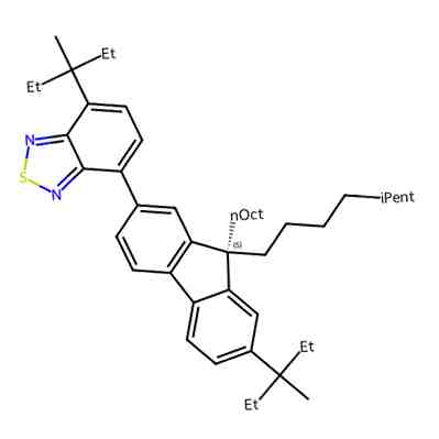 CCCCCCCC[C@@]1(CCCCC(C)CCC)c2cc(-c3ccc(C(C)(CC)CC)c4nsnc34)ccc2-c2ccc(C(C)(CC)CC)cc21